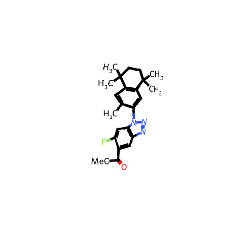 COC(=O)c1cc2nnn(-c3cc4c(cc3C)C(C)(C)CCC4(C)C)c2cc1F